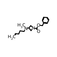 C=CCCCN(C)C1CN(C(=O)OCc2ccccc2)C1